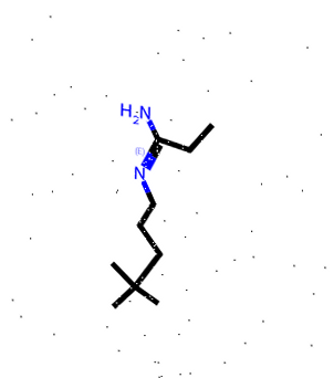 CC/C(N)=N\CCCC(C)(C)C